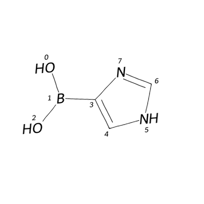 OB(O)c1c[nH]cn1